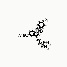 COc1ccc2c(c1)c(SCCN(C)C)cn2S(=O)(=O)c1ccc(C(C)C)cc1